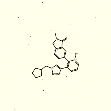 CN1Cc2ccc(-c3c(-c4cnn(CC5CCCC5)c4)ccc[n+]3[O-])cc2C1=O